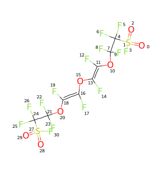 O=S(=O)(F)C(F)(F)C(F)(F)OC(F)=C(F)OC(F)=C(F)OC(F)(F)C(F)(F)S(=O)(=O)F